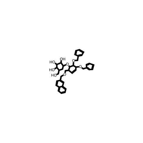 OCC1CC(OC2C(COCc3ccc4ccccc4c3)C=CC(OCc3ccccc3)C2OCc2ccccc2)C(O)C(O)C1O